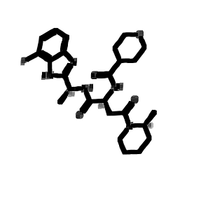 C[C@H](NC(=O)[C@H](CC(=O)N1CCCC[C@@H]1C)NC(=O)C1CCOCC1)c1nc2cccc(F)c2[nH]1